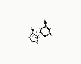 N[C@@H]1CCO[C@H]1c1cncc(Br)c1